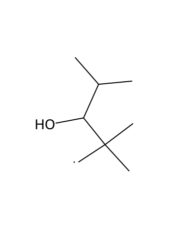 [CH2]C(C)(C)C(O)C(C)C